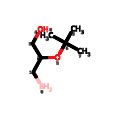 BCC(CO)OC(C)(C)C